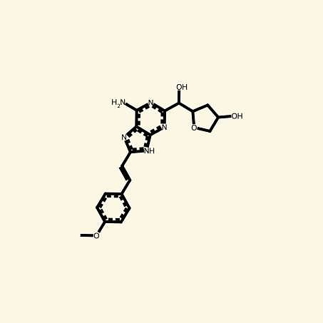 COc1ccc(/C=C/c2nc3c(N)nc(C(O)C4CC(O)CO4)nc3[nH]2)cc1